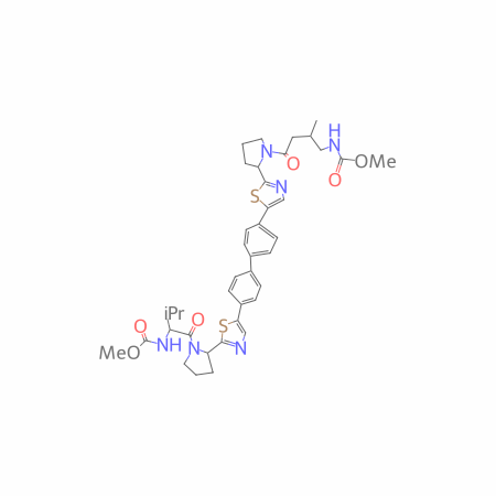 COC(=O)NCC(C)CC(=O)N1CCCC1c1ncc(-c2ccc(-c3ccc(-c4cnc(C5CCCN5C(=O)C(NC(=O)OC)C(C)C)s4)cc3)cc2)s1